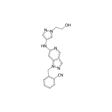 N#Cc1ccccc1Cn1ncc2cnc(Nc3cnn(CCO)c3)cc21